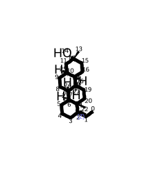 C/C=C1/CCC[C@H]2[C@@H]3CC[C@@H]4C[C@](C)(O)CC[C@@H]4[C@H]3CC[C@]12C